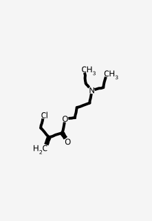 C=C(CCl)C(=O)OCCCN(CC)CC